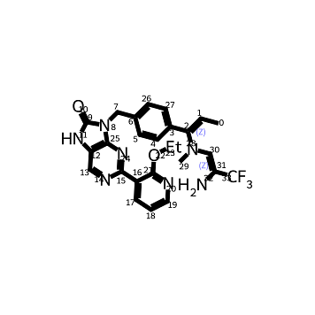 C/C=C(/c1ccc(Cn2c(=O)[nH]c3cnc(-c4cccnc4OCC)nc32)cc1)N(C)/C=C(\N)C(F)(F)F